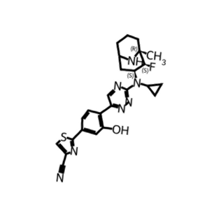 C[C@@]12CCCC(C[C@H](N(c3ncc(-c4ccc(-c5nc(C#N)cs5)cc4O)nn3)C3CC3)[C@@H]1F)N2